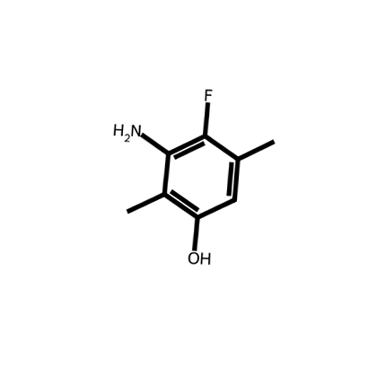 Cc1cc(O)c(C)c(N)c1F